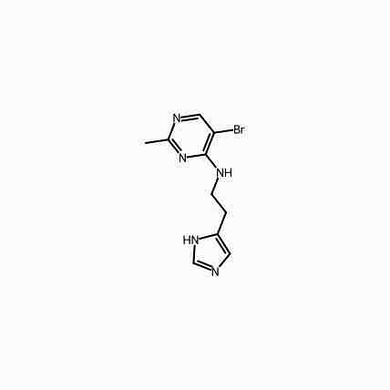 Cc1ncc(Br)c(NCCc2cnc[nH]2)n1